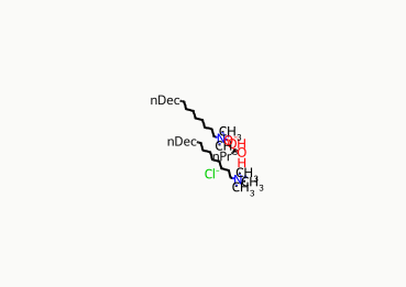 CCCC(O)O.CCCCCCCCCCCCCCCCCC[N+](C)(C)C.CCCCCCCCCCCCCCCCCC[N+](C)(C)[O-].[Cl-]